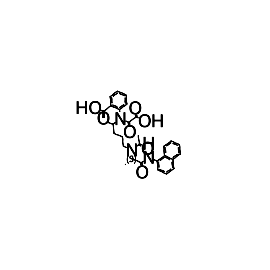 CC(=O)N(CCCC(C)N(C(=O)C(=O)O)c1ccccc1C(=O)O)[C@@H](C)C(=O)Nc1cccc2ccccc12